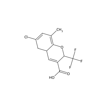 CC1=C2OC(C(F)(F)F)C(C(=O)O)=CC2CC(Cl)=C1